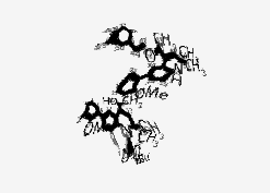 COc1ccccc1-c1ccc2c(c1)C(C(C)O)=CC(C)(C)N2C(=O)OC(C)(C)C.COc1ccccc1-c1ccc2c(c1)C(C(C)OCCC1CCCCC1)=CC(C)(C)N2